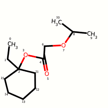 CCC1(OC(=O)COC(C)C)CCCCC1